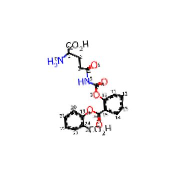 NC(CCC(=O)NC(=O)Oc1ccccc1C(=O)Oc1ccccc1C(=O)O)C(=O)O